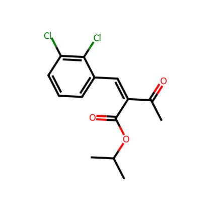 CC(=O)C(=Cc1cccc(Cl)c1Cl)C(=O)OC(C)C